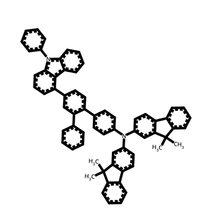 CC1(C)c2ccccc2-c2ccc(N(c3ccc(-c4ccc(-c5cccc6c5c5ccccc5n6-c5ccccc5)cc4-c4ccccc4)cc3)c3ccc4c(c3)C(C)(C)c3ccccc3-4)cc21